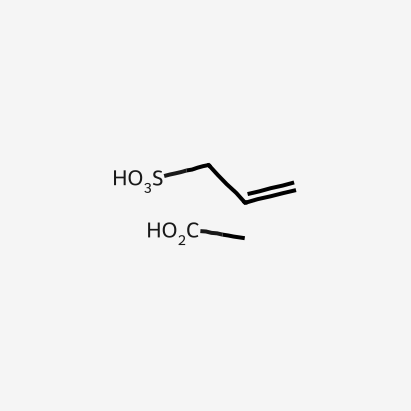 C=CCS(=O)(=O)O.CC(=O)O